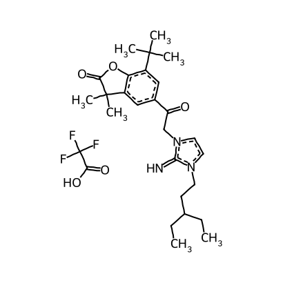 CCC(CC)CCn1ccn(CC(=O)c2cc(C(C)(C)C)c3c(c2)C(C)(C)C(=O)O3)c1=N.O=C(O)C(F)(F)F